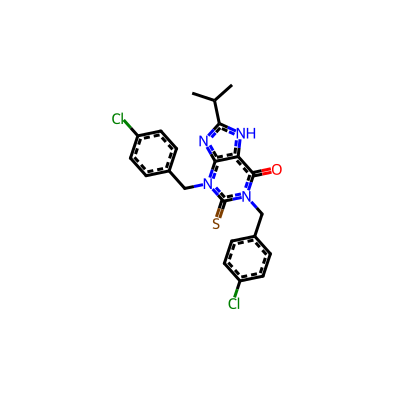 CC(C)c1nc2c([nH]1)c(=O)n(Cc1ccc(Cl)cc1)c(=S)n2Cc1ccc(Cl)cc1